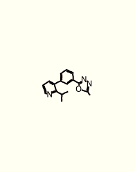 Cc1nnc(-c2cccc(-c3cccnc3C(C)C)c2)o1